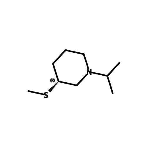 CS[C@@H]1CCCN(C(C)C)C1